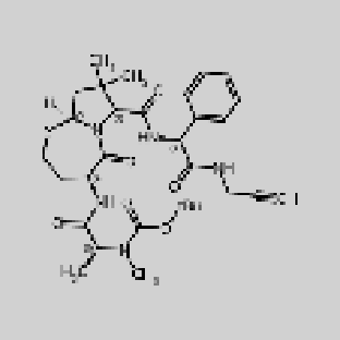 C#CCNC(=O)[C@@H](NC(=O)[C@H]1N2C(=O)[C@@H](NC(=O)[C@H](C)N(C)C(=O)OC(C)(C)C)CCS[C@H]2CC1(C)C)c1ccccc1